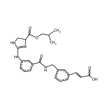 CC(C)COC(=O)C1CNC(Nc2cccc(C(=O)NCc3cccc(C=CC(=O)O)c3)c2)=N1